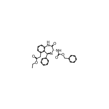 CCOC(=O)Cc1cccc2c1C(c1ccccc1)=N[C@@H](NC(=O)OCc1ccccc1)C(=O)N2